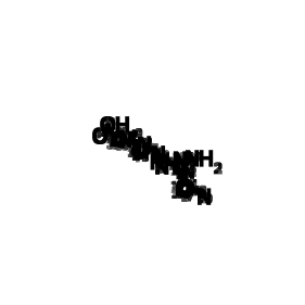 CC(c1cccc(Cn2cc(-c3cc(-c4cccc(C#N)c4)nc(N)n3)nn2)n1)N1CC[C@@H](C(=O)O)C1